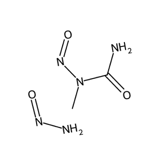 CN(N=O)C(N)=O.NN=O